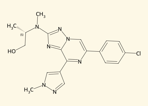 C[C@@H](CO)N(C)c1nc2c(-c3cnn(C)c3)nc(-c3ccc(Cl)cc3)cn2n1